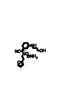 N#C/C(=C1/C=C(NCCCO)CCC1)N(CCc1ccco1)OON